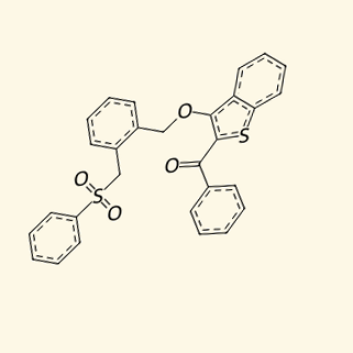 O=C(c1ccccc1)c1sc2ccccc2c1OCc1ccccc1CS(=O)(=O)c1ccccc1